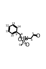 CP(=O)(NCC=O)OCc1ccccc1